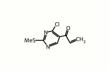 C=CC(=O)c1cnc(SC)nc1Cl